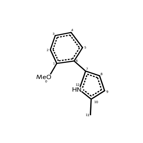 COc1ccccc1-c1ccc(C)[nH]1